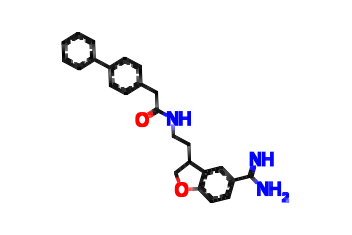 N=C(N)c1ccc2c(c1)C(CCNC(=O)Cc1ccc(-c3ccccc3)cc1)CO2